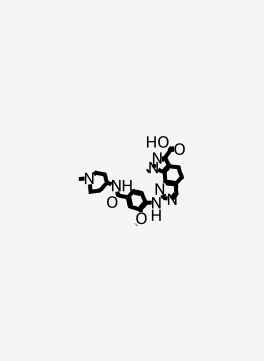 COc1cc(C(=O)NC2CCN(C)CC2)ccc1Nc1ncc2c(n1)-c1c(c(C(=O)O)nn1C)CC2